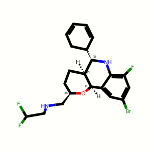 Fc1cc(Br)cc2c1N[C@@H](C1C=CC=CC1)[C@@H]1CC[C@H](CNCC(F)F)O[C@H]21